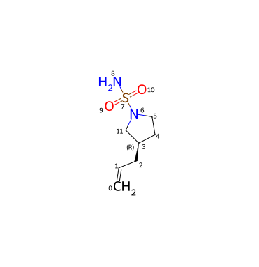 C=CC[C@@H]1CCN(S(N)(=O)=O)C1